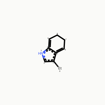 CCc1c[nH]c2c1=CCCC=2